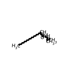 CCCCCCCCCCCCCCCCCCC(C)COC(=O)NCCN(CC)CC